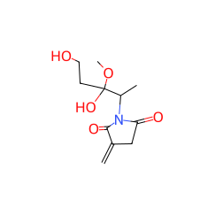 C=C1CC(=O)N(C(C)C(O)(CCO)OC)C1=O